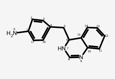 Nc1ccc(CC2NC=Nc3ccccc32)cc1